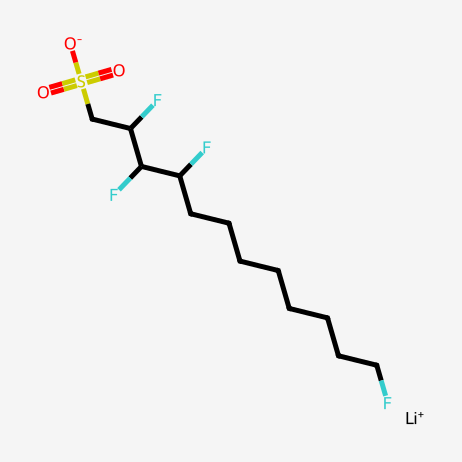 O=S(=O)([O-])CC(F)C(F)C(F)CCCCCCCCF.[Li+]